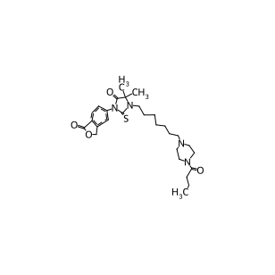 CCCC(=O)N1CCN(CCCCCCCN2C(=S)N(c3ccc4c(c3)COC4=O)C(=O)C2(C)C)CC1